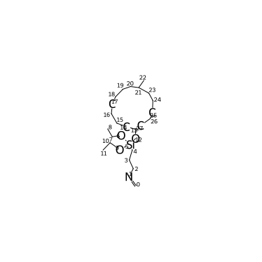 C=NCCC[Si](OCC)(OCC)OC1CCCCCCCC(C)CCCCC1